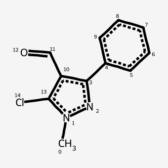 Cn1nc(-c2ccccc2)c(C=O)c1Cl